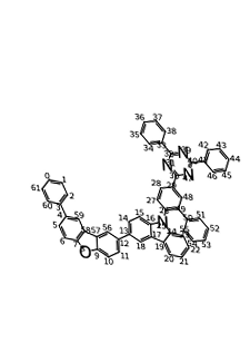 c1ccc(-c2ccc3oc4ccc(-c5ccc6c(c5)c5ccccc5n6-c5ccc(-c6nc(-c7ccccc7)nc(-c7ccccc7)n6)cc5-c5ccccc5)cc4c3c2)cc1